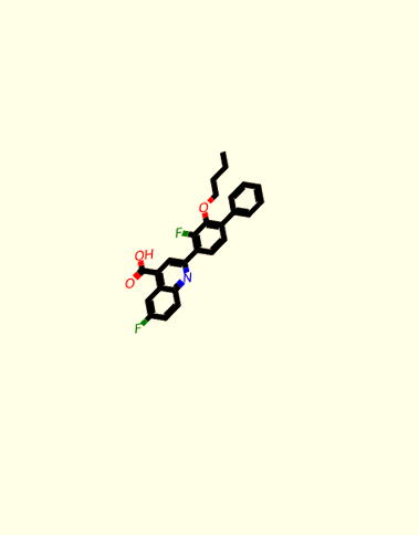 CCCCOc1c(-c2ccccc2)ccc(-c2cc(C(=O)O)c3cc(F)ccc3n2)c1F